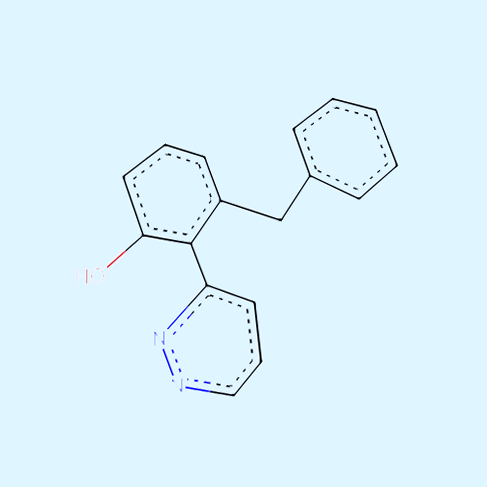 Oc1cccc(Cc2ccccc2)c1-c1cccnn1